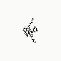 CCC=CCCOc1c(OC(=O)c2ccccc2)c2c(OCCC=CCC)cccc2oc1=O